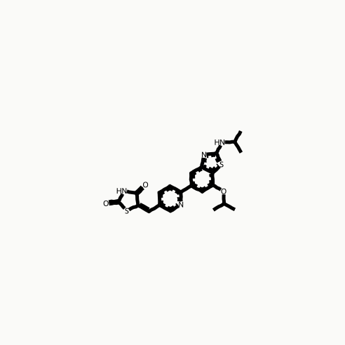 CC(C)Nc1nc2cc(-c3ccc(C=C4SC(=O)NC4=O)cn3)cc(OC(C)C)c2s1